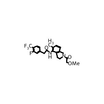 COCC(=O)N1CCc2c(ccc(C)c2NC(=O)Cc2ccc(C(F)(F)F)c(F)c2)C1